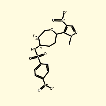 Cn1ncc([N+](=O)[O-])c1C1CC[C@@H](NS(=O)(=O)c2ccc([N+](=O)[O-])cc2)[C@H](F)CO1